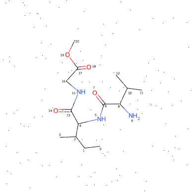 CCC(C)C(NC(=O)C(N)C(C)C)C(=O)NCC(=O)OC